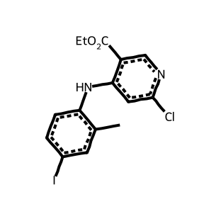 CCOC(=O)c1cnc(Cl)cc1Nc1ccc(I)cc1C